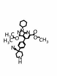 CCOC(=O)c1cc(-c2ccc(C3(C#N)CCNCC3)cc2)c2c(OC(C)C)nn(C3CCCCC3)c2n1